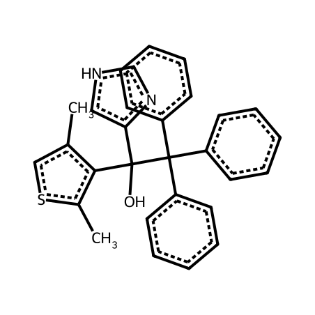 Cc1csc(C)c1C(O)(c1c[nH]cn1)C(c1ccccc1)(c1ccccc1)c1ccccc1